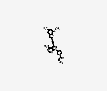 C=CC(=O)N1CCC(n2nc(C#Cc3cc4cc(C)cc(OC)c4s3)c3c(N)ncnc32)C1